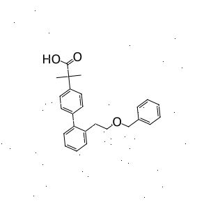 CC(C)(C(=O)O)c1ccc(-c2ccccc2CCOCc2ccccc2)cc1